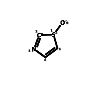 [O-][s+]1[c-]ncc1